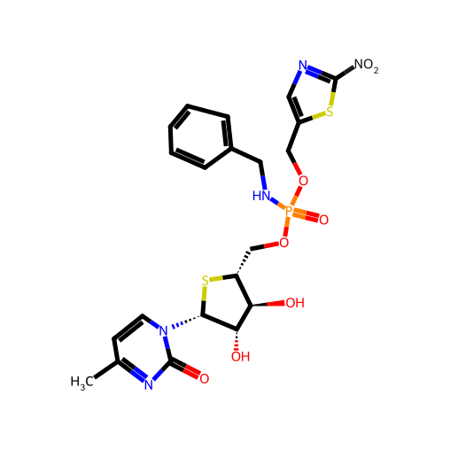 Cc1ccn([C@@H]2S[C@H](COP(=O)(NCc3ccccc3)OCc3cnc([N+](=O)[O-])s3)[C@@H](O)[C@@H]2O)c(=O)n1